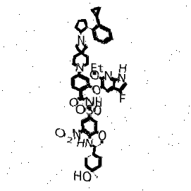 CCOc1nc2[nH]cc(F)c2cc1Oc1cc(N2CCC3(CC2)CN([C@@H]2CCC[C@@H]2c2ccccc2C2CC2)C3)ccc1C(=O)NS(=O)(=O)c1cc2c(c([N+](=O)[O-])c1)N[C@@H]([C@H]1CC[C@](C)(O)CC1)CO2